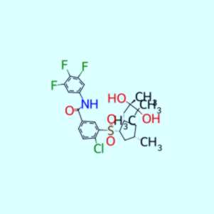 C[C@H]1C[C@@H](C[C@](C)(O)C(C)(C)O)[C@@H](S(=O)(=O)c2cc(C(=O)Nc3cc(F)c(F)c(F)c3)ccc2Cl)C1